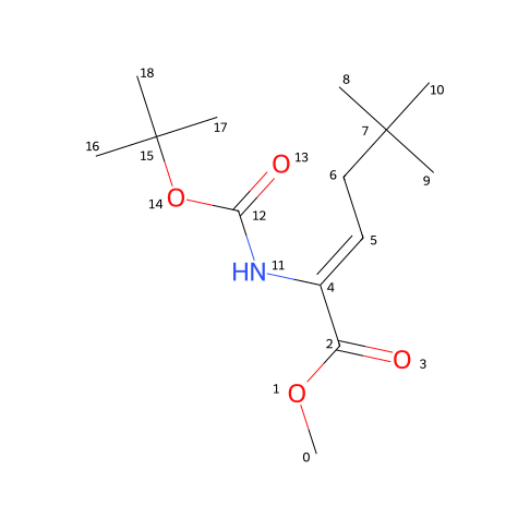 COC(=O)C(=CCC(C)(C)C)NC(=O)OC(C)(C)C